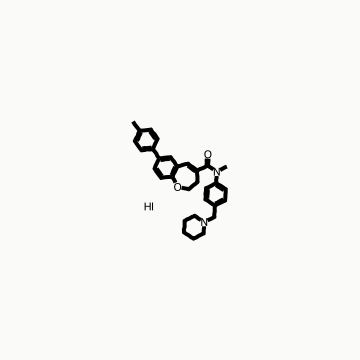 Cc1ccc(-c2ccc3c(c2)C=C(C(=O)N(C)c2ccc(CN4CCCCC4)cc2)CCO3)cc1.I